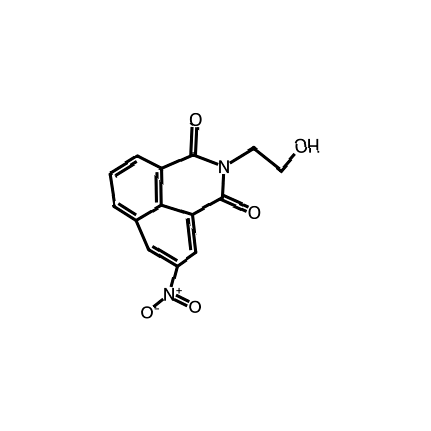 O=C1c2cccc3cc([N+](=O)[O-])cc(c23)C(=O)N1CCO